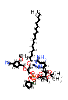 CCCCCCCCCCCCCCCCCCOCC(COP(=O)(OC[C@@]1(C)O[C@@H](c2ccc3c(N)ncnn23)[C@@H]2OC(C)(C)O[C@@H]21)Oc1ccccc1Cl)OCc1ccc(C#N)cc1OC